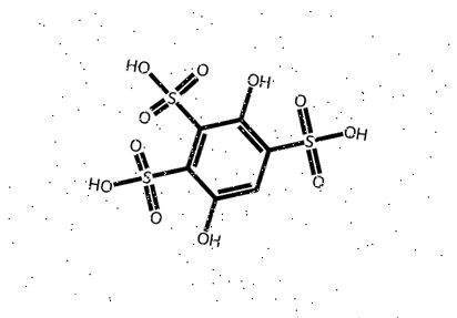 O=S(=O)(O)c1cc(O)c(S(=O)(=O)O)c(S(=O)(=O)O)c1O